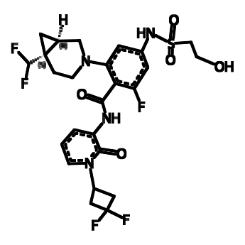 O=C(Nc1cccn(C2CC(F)(F)C2)c1=O)c1c(F)cc(NS(=O)(=O)CCO)cc1N1CC[C@@]2(C(F)F)C[C@H]2C1